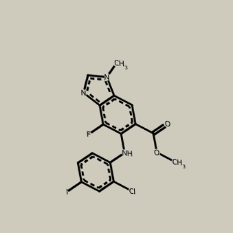 COC(=O)c1cc2c(ncn2C)c(F)c1Nc1ccc(I)cc1Cl